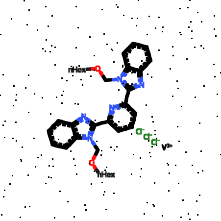 CCCCCCOCn1c(-c2cccc(-c3nc4ccccc4n3COCCCCCC)n2)nc2ccccc21.[Cl-].[Cl-].[Cl-].[V+3]